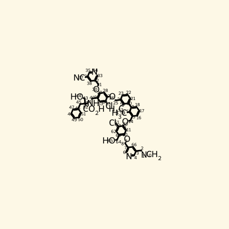 C=NCc1cncc(COc2cc(OCc3cccc(-c4cccc(COc5cc(OCc6cncc(C#N)c6)c(CNC(CO)(Cc6ccccc6)C(=O)O)cc5Cl)c4C)c3C)c(Cl)cc2CO)c1